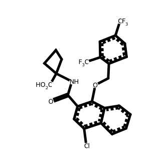 O=C(NC1(C(=O)O)CCC1)c1cc(Cl)c2ccccc2c1OCc1ccc(C(F)(F)F)cc1C(F)(F)F